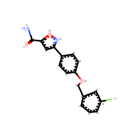 NC(=O)c1cc(-c2ccc(OCc3cccc(F)c3)cc2)no1